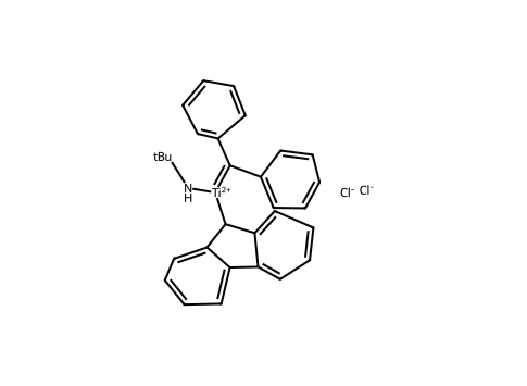 CC(C)(C)[NH][Ti+2](=[C](c1ccccc1)c1ccccc1)[CH]1c2ccccc2-c2ccccc21.[Cl-].[Cl-]